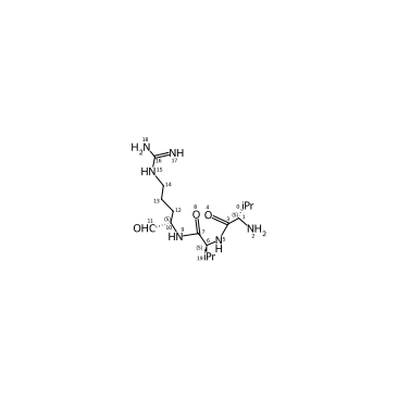 CC(C)[C@H](N)C(=O)N[C@H](C(=O)N[C@H](C=O)CCCNC(=N)N)C(C)C